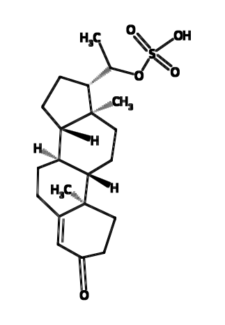 CC(OS(=O)(=O)O)[C@H]1CC[C@H]2[C@@H]3CCC4=CC(=O)CC[C@]4(C)[C@H]3CC[C@]12C